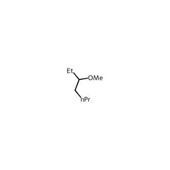 CCCCC(CC)OC